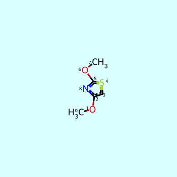 COc1csc(OC)n1